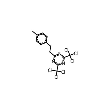 Cc1ccc(CCc2nc(C(Cl)(Cl)Cl)nc(C(Cl)(Cl)Cl)n2)cc1